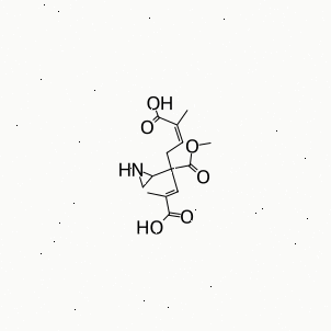 COC(=O)C(C=C(C)C(=O)O)(CC=C(C)C(=O)O)C1CN1